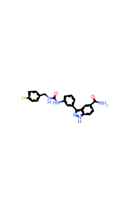 NC(=O)c1ccc2[nH]nc(-c3cccc(NC(=O)NCc4ccc(F)cc4)c3)c2c1